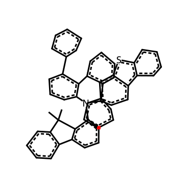 CC1(C)c2ccccc2-c2cccc(N(c3ccc4c(c3)sc3ccccc34)c3cccc(-c4ccccc4)c3-c3ccccc3-c3ccccc3)c21